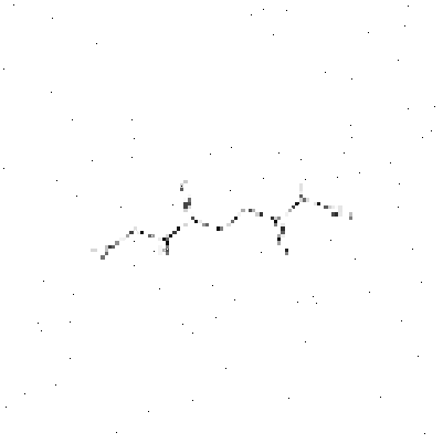 CCNC(=O)CCC(=O)NC